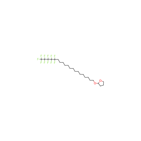 FC(F)(F)C(F)(F)C(F)(F)C(F)(F)C(F)(F)CCCCCCCCCCCCCCCOC1CCCO1